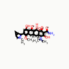 COc1c(C2C3CC3CN2C)cc(O)c2c1C[C@H]1C[C@H]3[C@H](N(C)C)C(O)=C(C(N)=O)C(=O)[C@@]3(O)C(O)=C1C2=O